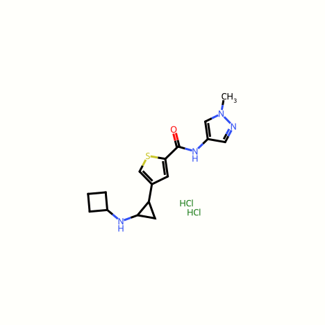 Cl.Cl.Cn1cc(NC(=O)c2cc(C3CC3NC3CCC3)cs2)cn1